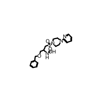 O=S(=O)(CC(COCc1ccccc1)NO)N1CCN(c2ccccn2)CC1